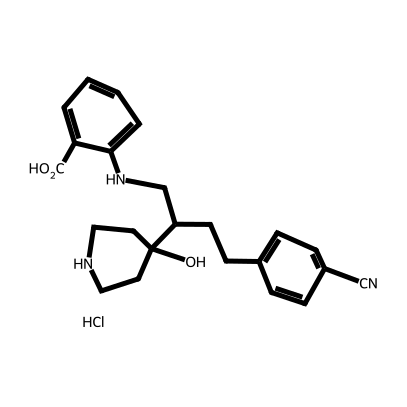 Cl.N#Cc1ccc(CCC(CNc2ccccc2C(=O)O)C2(O)CCNCC2)cc1